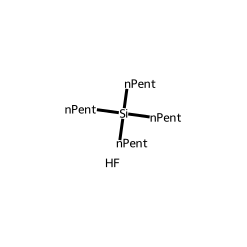 CCCCC[Si](CCCCC)(CCCCC)CCCCC.F